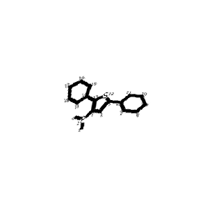 CP(C)c1cc(C2CCCCC2)sc1C1CCCCC1